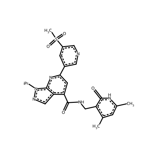 Cc1cc(C)c(CNC(=O)c2cc(-c3cncc(S(C)(=O)=O)c3)nc3c2cnn3C(C)C)c(=O)[nH]1